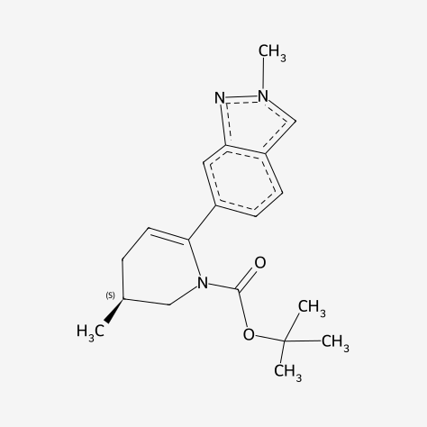 C[C@H]1CC=C(c2ccc3cn(C)nc3c2)N(C(=O)OC(C)(C)C)C1